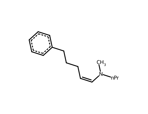 CCCN(C)/C=C\CCCc1ccccc1